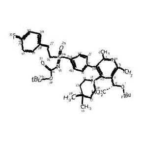 Cc1nc(C)c([C@H](OC(C)(C)C)C(=O)O)c(N2CCC(C)(C)CC2)c1-c1ccc(S(=O)(CCc2ccc(F)cc2)=NC(=O)OC(C)(C)C)cc1